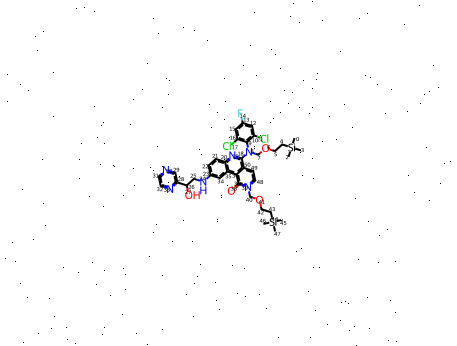 C[Si](C)(C)CCOCN(c1c(Cl)cc(F)cc1Cl)c1nc2ccc(NCC(O)c3cnccn3)cc2c2c(=O)n(COCC[Si](C)(C)C)ccc12